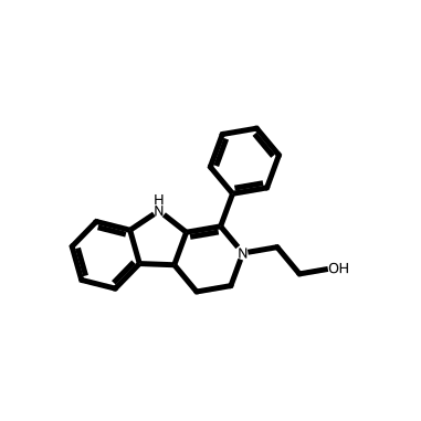 OCCN1CCC2C(=C1c1ccccc1)Nc1ccccc12